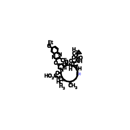 CCOc1ccc2nc(C(F)(F)F)c(O[C@@H]3C[C@H]4C(=O)N[C@]5(C(=O)NS(=O)(=O)C6(C)CC6)C[C@H]5/C=C\CC[C@H](C)C[C@@H](C)[C@H](NC(=O)O)C(=O)N4C3)nc2c1